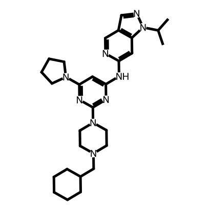 CC(C)n1ncc2cnc(Nc3cc(N4CCCC4)nc(N4CCN(CC5CCCCC5)CC4)n3)cc21